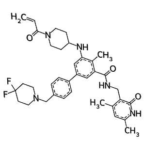 C=CC(=O)N1CCC(Nc2cc(-c3ccc(CN4CCC(F)(F)CC4)cc3)cc(C(=O)NCc3c(C)cc(C)[nH]c3=O)c2C)CC1